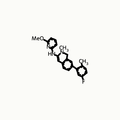 COc1cccc(NC2=Cc3ccc(-c4cc(F)ccc4C)cc3CN2C)n1